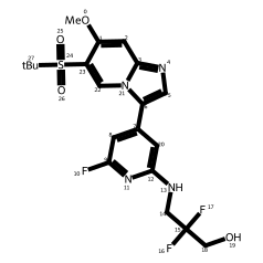 COc1cc2ncc(-c3cc(F)nc(NCC(F)(F)CO)c3)n2cc1S(=O)(=O)C(C)(C)C